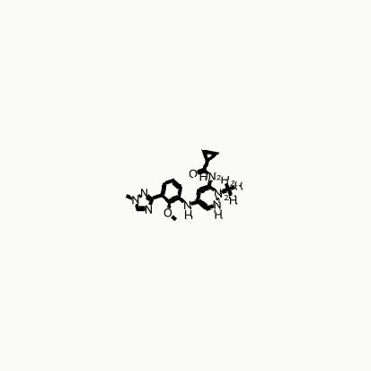 [2H]C([2H])([2H])N1NC=C(Nc2cccc(-c3ncn(C)n3)c2OC)C=C1NC(=O)C1CC1